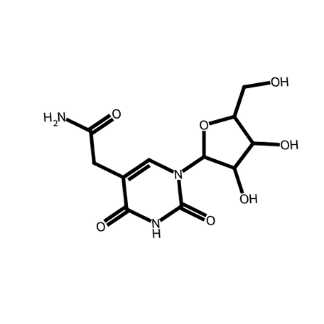 NC(=O)Cc1cn(C2OC(CO)C(O)C2O)c(=O)[nH]c1=O